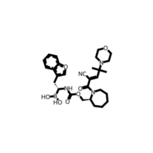 CC(C)(/C=C(\C#N)C(=O)N1CCCCC[C@H]1COC(=O)N[C@@H](Cc1coc2ccccc12)B(O)O)N1CCOCC1